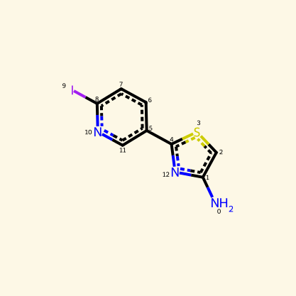 Nc1csc(-c2ccc(I)nc2)n1